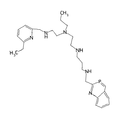 CCCN(CCNCCCNCc1nc2ccccc2cp1)CCNCc1cccc(CC)n1